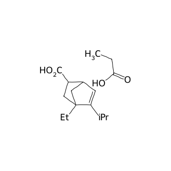 CCC(=O)O.CCC12CC(C=C1C(C)C)C(C(=O)O)C2